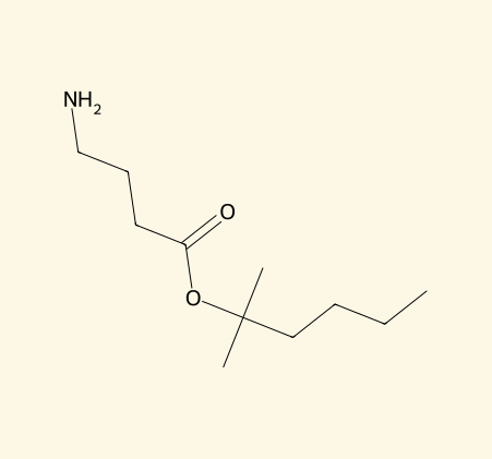 CCCCC(C)(C)OC(=O)CCCN